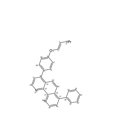 CCCC=COc1ccc(-c2ccnc3c2ccc2c(-c4ccccc4)ccnc23)cc1